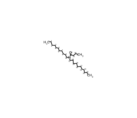 CCCCCCCCCCCN(CCCCCCCCCCC)C(=O)CCC